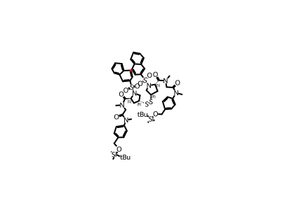 CN(CC(=O)N(C)c1ccc(CO[Si](C)(C)C(C)(C)C)cc1)C(=O)[C@@H]1C[C@@H](SS[C@@H]2C[C@@H](C(=O)N(C)CC(=O)N(C)c3ccc(CO[Si](C)(C)C(C)(C)C)cc3)N(S(=O)(=O)c3ccc4ccccc4c3)C2)CN1S(=O)(=O)c1ccc2ccccc2c1